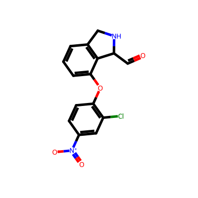 O=CC1NCc2cccc(Oc3ccc([N+](=O)[O-])cc3Cl)c21